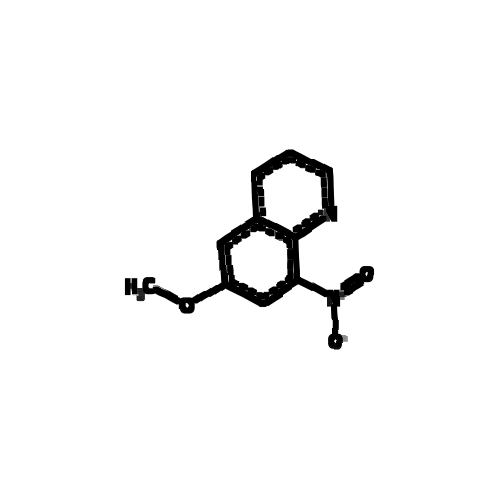 COc1cc([N+](=O)[O-])c2ncccc2c1